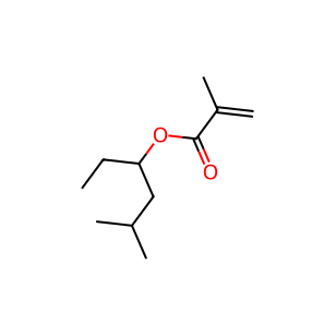 C=C(C)C(=O)OC(CC)CC(C)C